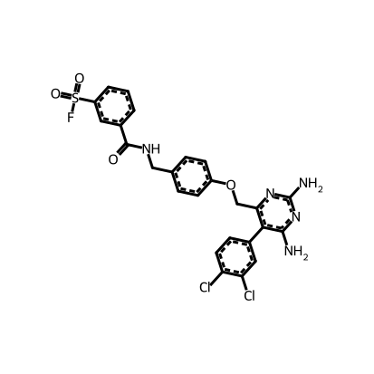 Nc1nc(N)c(-c2ccc(Cl)c(Cl)c2)c(COc2ccc(CNC(=O)c3cccc(S(=O)(=O)F)c3)cc2)n1